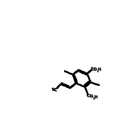 Cc1cc(C(=O)O)c(C)c(C(=O)O)c1C=CC#N